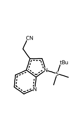 CC(C)(C)S(C)(C)n1cc(CC#N)c2cccnc21